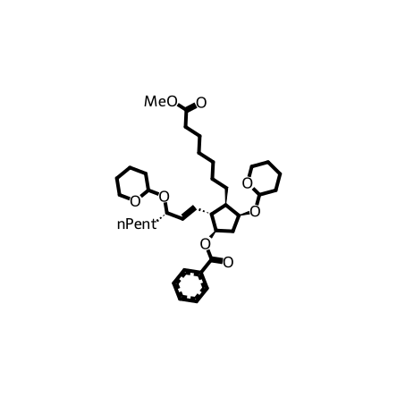 CCCCC[C@@H](/C=C/[C@@H]1[C@@H](CCCCCCC(=O)OC)[C@@H](OC2CCCCO2)C[C@H]1OC(=O)c1ccccc1)OC1CCCCO1